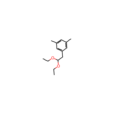 CCOC(Cc1cc(C)cc(C)c1)OCC